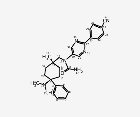 CN(C)[C@]1(c2ccccc2)CC[C@@](C)(CN(C(N)=O)c2cnc(-c3ccc(C#N)cc3)nc2)CC1